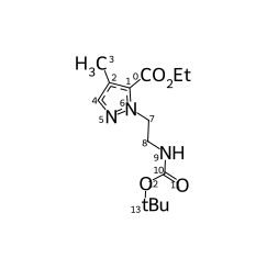 CCOC(=O)c1c(C)cnn1CCNC(=O)OC(C)(C)C